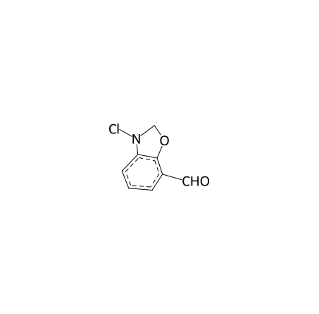 O=Cc1cccc2c1OCN2Cl